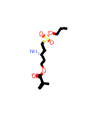 C=C(C)C(=O)OCCCCCS(=O)(=O)OCCC.N